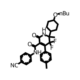 CCCCOC1CCC(C2(C)NC(=O)C(C(=O)Nc3ccc(C#N)cc3)=C(c3ccc(C)cc3)C2(F)F)CC1